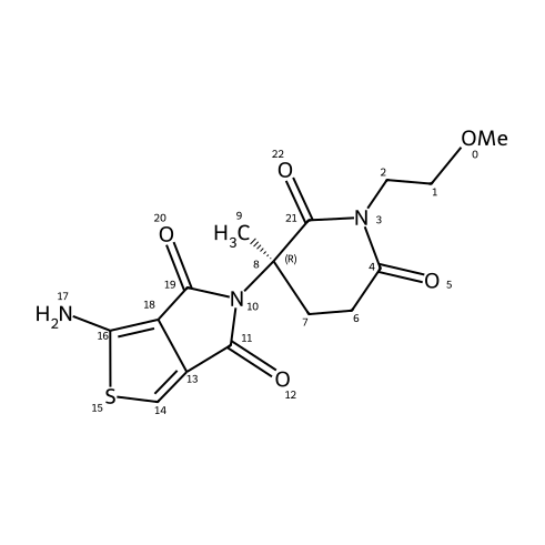 COCCN1C(=O)CC[C@@](C)(N2C(=O)c3csc(N)c3C2=O)C1=O